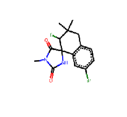 CN1C(=O)NC2(C1=O)c1cc(Br)ccc1CC(C)(C)C2F